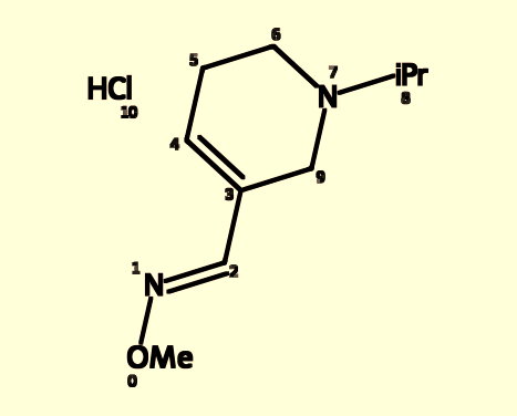 CON=CC1=CCCN(C(C)C)C1.Cl